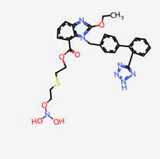 CCOc1nc2cccc(C(=O)OCCSCCON(O)O)c2n1Cc1ccc(-c2ccccc2-c2nn[nH]n2)cc1